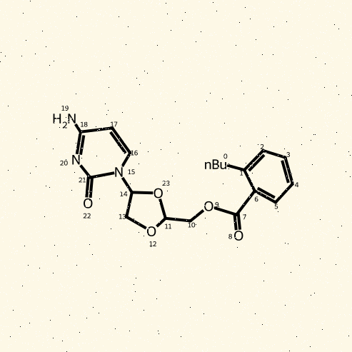 CCCCc1ccccc1C(=O)OCC1OCC(n2ccc(N)nc2=O)O1